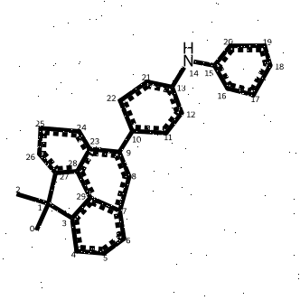 CC1(C)c2cccc3cc(-c4ccc(Nc5ccccc5)cc4)c4cccc1c4c23